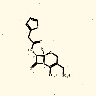 O=C(Cc1cccs1)N[C@@H]1C(=O)N2C(C(=O)O)=C(CS(=O)(=O)O)CS[C@H]12